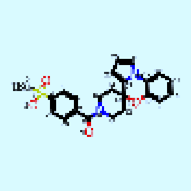 CC(C)(C)S(=O)(=O)c1ccc(C(=O)N2CCC3(CC2)Oc2ccccc2-n2cccc23)cc1